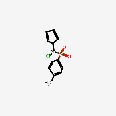 Cc1ccc([S](=O)(=O)[Ru]([Cl])[CH]2C=CC=C2)cc1